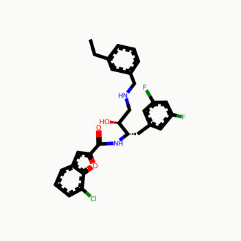 CCc1cccc(CNC[C@H](O)[C@H](Cc2cc(F)cc(F)c2)NC(=O)c2cc3cccc(Cl)c3o2)c1